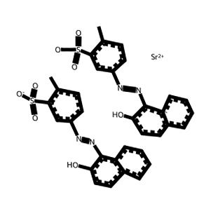 Cc1ccc(N=Nc2c(O)ccc3ccccc23)cc1S(=O)(=O)[O-].Cc1ccc(N=Nc2c(O)ccc3ccccc23)cc1S(=O)(=O)[O-].[Sr+2]